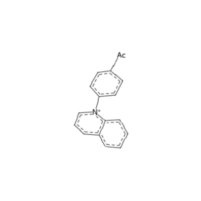 CC(=O)c1ccc(-[n+]2cccc3ccccc32)cc1